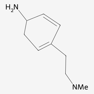 CNCCC1=CCC(N)C=C1